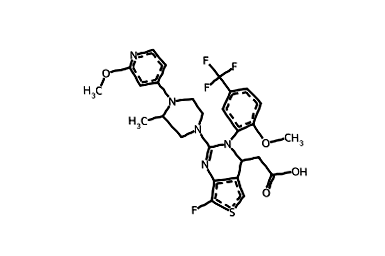 COc1cc(N2CCN(C3=Nc4c(csc4F)C(CC(=O)O)N3c3cc(C(F)(F)F)ccc3OC)CC2C)ccn1